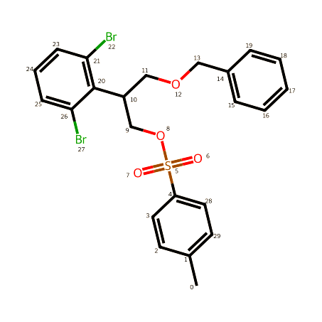 Cc1ccc(S(=O)(=O)OCC(COCc2ccccc2)c2c(Br)cccc2Br)cc1